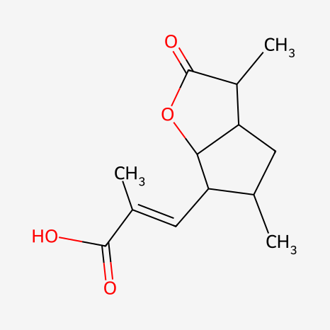 CC(=CC1C(C)CC2C(C)C(=O)OC12)C(=O)O